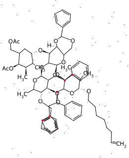 C=CCCCCCCO[C@@H]1OC(COCc2ccccc2)[C@@H](O[C@@H]2OC3COC(c4ccccc4)O[C@@H]3[C@H](O[C@H]3CC(COC(C)=O)[C@H](OC(C)=O)[C@H](C)C3C)C2O[C@@H]2OC(C)[C@@H](OCc3ccccc3)[C@H](OCc3ccccc3)C2OCc2ccccc2)[C@H](C)C1C